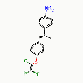 C/C(=C\c1ccc(OC(F)=C(F)F)cc1)c1ccc(N)cc1